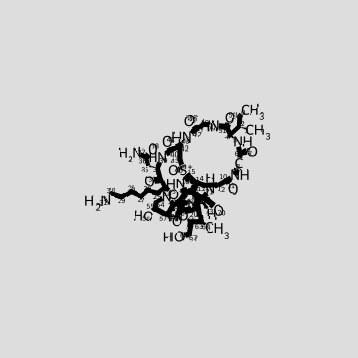 CC[C@H](C)[C@@H]1NC(=O)CNC(=O)C2Cc3c4[nH]c5cc(ccc35)OC(CCCCCCN)(C(=O)[C@H](CC(N)=O)NC(=O)C(C[S+]4[O-])NC(=O)CNC1=O)N1CC(O)C[C@H]1C(=O)N[C@@H]([C@@H](C)[C@@H](O)CO)C(=O)N2